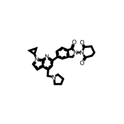 O=C1c2ccc(-c3cc(CN4CCCC4)c4ccn(C5CC5)c4n3)cc2CN1N1C(=O)CCCC1=O